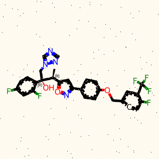 C[C@@H](c1cc(-c2ccc(OCc3ccc(F)c(C(F)(F)F)c3)cc2)no1)[C@](O)(Cn1cncn1)c1ccc(F)cc1F